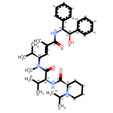 C/C(=C\[C@H](C(C)C)N(C)C(=O)[C@@H](NC(=O)[C@H]1CCCCN1C(C)C)C(C)C)C(=O)N[C@@H](c1ccccc1)[C@H](O)c1ccccc1